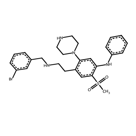 CS(=O)(=O)c1cc(CCNCc2cccc(Br)c2)c(N2CCNCC2)cc1Nc1ccccc1